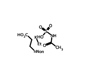 CC(=O)NS(=O)(=O)O.CCCCCCCCCCCC(=O)O.C[CH2][K]